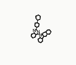 c1ccc(-c2ccc(-c3nc(-n4c5ccccc5c5cc6ccccc6cc54)c4ccccc4n3)cc2)cc1